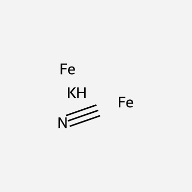 C#N.[Fe].[Fe].[KH]